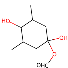 CC1CC(O)(OC=O)CC(C)C1O